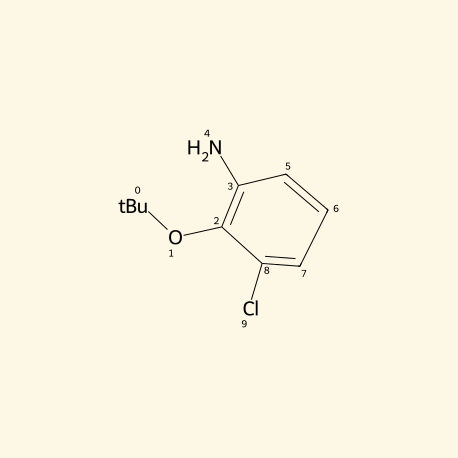 CC(C)(C)Oc1c(N)cccc1Cl